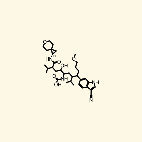 COCCCC(c1ccc2c(C#N)c[nH]c2c1)C(CC(NC(=O)O)C(O)CC(C(=O)N[C@@H]1CC12CCOCC2)C(C)C)C(C)C